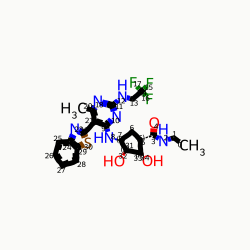 CCNC(=O)[C@H]1C[C@@H](Nc2nc(NCC(F)(F)F)nc(C)c2-c2nc3ccccc3s2)[C@H](O)[C@@H]1O